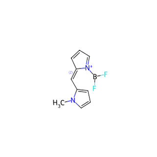 Cn1cccc1/C=C1/C=CC=[N+]1B(F)F